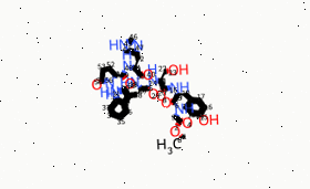 CCOC(=O)CNC(=O)[C@H](Cc1ccc(O)cc1)NC(=O)[C@H](CO)NC(=O)[C@H](Cc1c[nH]c2ccccc12)NC(=O)[C@H](Cc1c[nH]cn1)NC(=O)[C@@H]1CCC(=O)N1